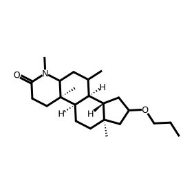 CCCOC1C[C@H]2[C@@H]3C(C)CC4N(C)C(=O)CC[C@]4(C)[C@@H]3CC[C@]2(C)C1